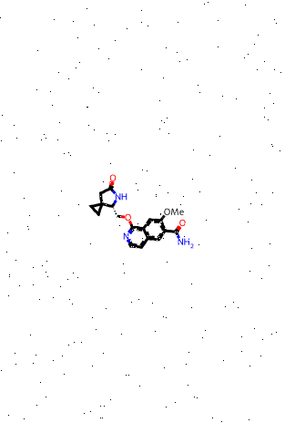 COc1cc2c(OC[C@H]3NC(=O)CC34CC4)nccc2cc1C(N)=O